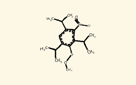 COSc1c(C(C)C)cc(C(C)C)c([N+](=O)[O-])c1C(C)C